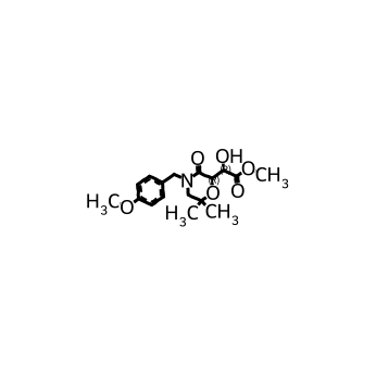 COC(=O)[C@H](O)[C@H]1OC(C)(C)CN(Cc2ccc(OC)cc2)C1=O